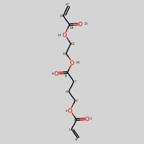 C=CC(=O)OCCCC(=O)OCCOC(=O)C=C